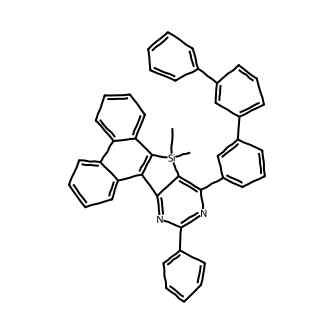 C[Si]1(C)c2c(-c3cccc(-c4cccc(-c5ccccc5)c4)c3)nc(-c3ccccc3)nc2-c2c1c1ccccc1c1ccccc21